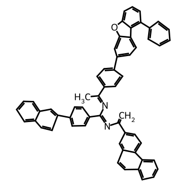 C=C(/N=C(\N=C(/C)c1ccc(-c2ccc3c(c2)oc2cccc(-c4ccccc4)c23)cc1)c1ccc(-c2ccc3ccccc3c2)cc1)c1ccc2c(ccc3ccccc32)c1